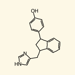 Oc1ccc(C2CC(Cc3c[nH]cn3)c3ccccc32)cc1